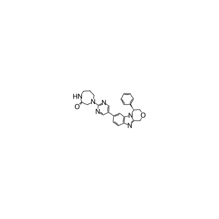 O=C1CN(c2ncc(-c3ccc4nc5n(c4c3)[C@@H](c3ccccc3)COC5)cn2)CCCN1